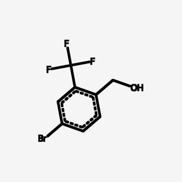 OCc1ccc(Br)cc1C(F)(F)F